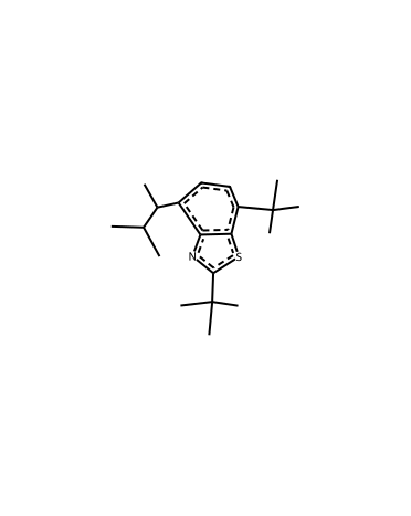 CC(C)C(C)c1ccc(C(C)(C)C)c2sc(C(C)(C)C)nc12